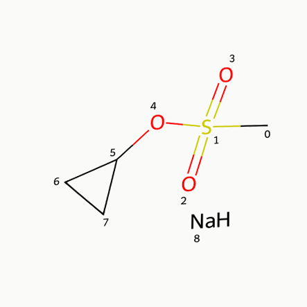 CS(=O)(=O)OC1CC1.[NaH]